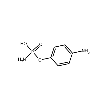 Nc1ccc(OP(N)(=O)O)cc1